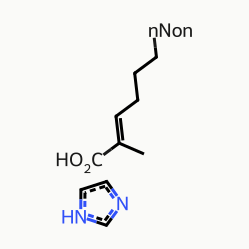 CCCCCCCCCCCCC=C(C)C(=O)O.c1c[nH]cn1